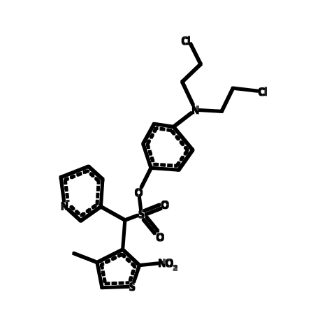 Cc1csc([N+](=O)[O-])c1C(c1cccnc1)S(=O)(=O)Oc1ccc(N(CCCl)CCCl)cc1